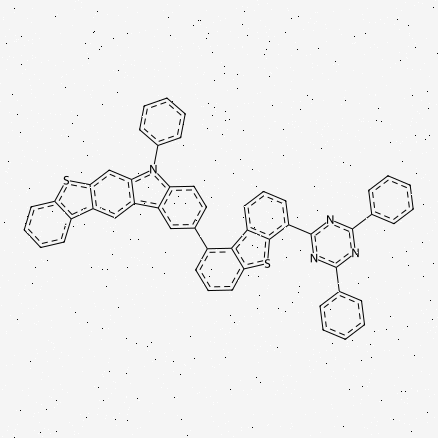 c1ccc(-c2nc(-c3ccccc3)nc(-c3cccc4c3sc3cccc(-c5ccc6c(c5)c5cc7c(cc5n6-c5ccccc5)sc5ccccc57)c34)n2)cc1